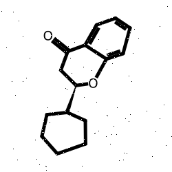 O=C1C[C@H](C2CCCCC2)Oc2ccccc21